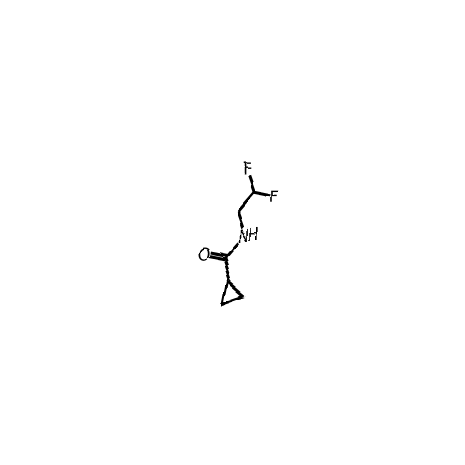 O=C(NCC(F)F)C1CC1